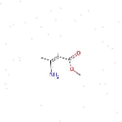 COC(=O)C(C)=C(C)N